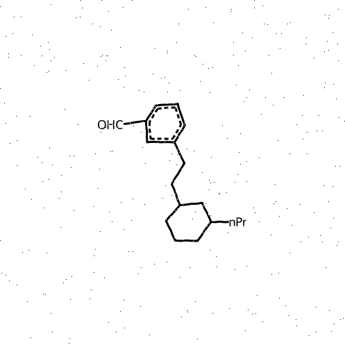 CCCC1CCCC(CCc2cccc(C=O)c2)C1